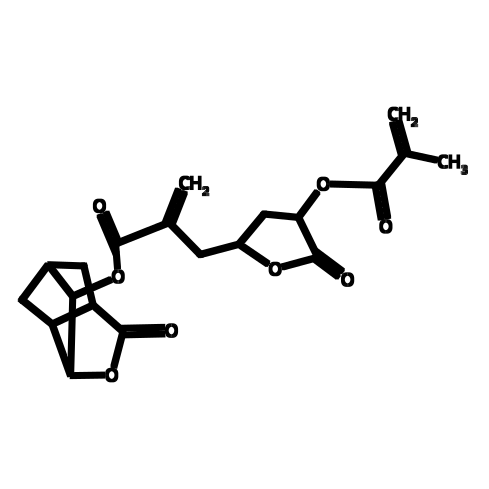 C=C(C)C(=O)OC1CC(CC(=C)C(=O)OC2C3CC4C(=O)OC2C4C3)OC1=O